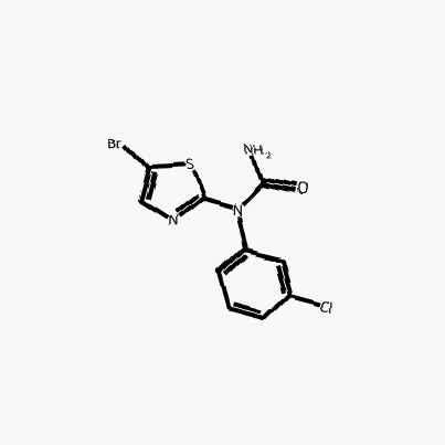 NC(=O)N(c1cccc(Cl)c1)c1ncc(Br)s1